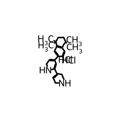 CC1(C)CCC(C)(C)c2cc(C3=CCNC(C4=CCNCC4)=C3)ccc21.Cl.Cl